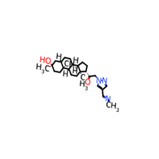 C/N=C/c1cnn(CC(=O)[C@H]2CC[C@H]3[C@@H]4CC[C@H]5C[C@](C)(O)CC[C@]5(C)[C@H]4CC[C@]23C)c1